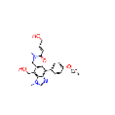 CN(Cc1cc(-c2ccc(OC(F)(F)F)cc2)c2ncn(C)c2c1CO)C(=O)/C=C/CO